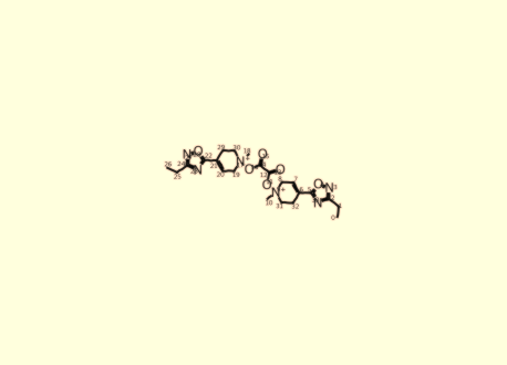 CCc1noc(C2=CC[N+](C)(OC(=O)C(=O)O[N+]3(C)CC=C(c4nc(CC)no4)CC3)CC2)n1